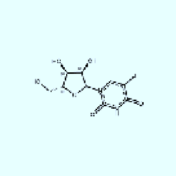 O=c1[nH]c(=O)n([C]2O[C@H](CO)[C@@H](O)[C@H]2O)cc1I